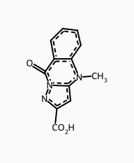 Cn1c2ccccc2c(=O)n2nc(C(=O)O)cc12